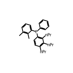 CCCc1ccc(P(c2ccccc2)c2cccc(C)c2C)c(CCC)c1CCC